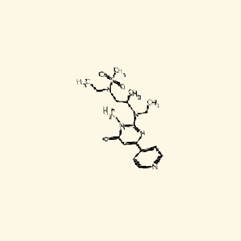 CCN(c1nc(-c2ccncc2)cc(=O)n1C)C(C)CN(CC)S(C)(=O)=O